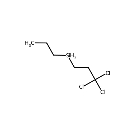 CCC[SiH2]CCC(Cl)(Cl)Cl